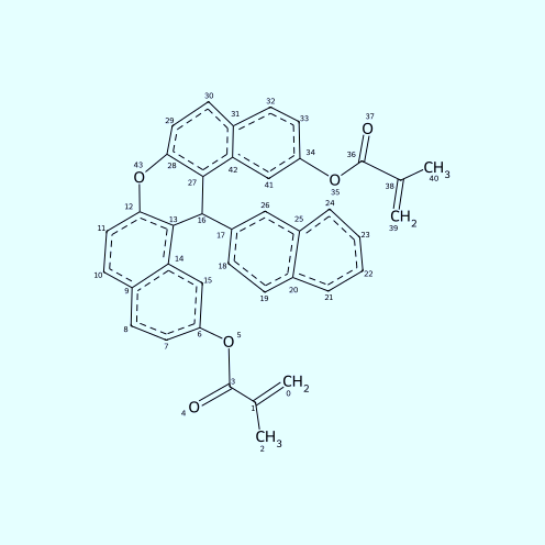 C=C(C)C(=O)Oc1ccc2ccc3c(c2c1)C(c1ccc2ccccc2c1)c1c(ccc2ccc(OC(=O)C(=C)C)cc12)O3